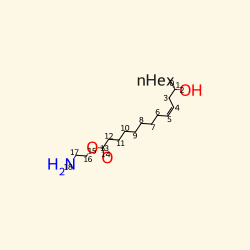 CCCCCC[C@@H](O)C/C=C\CCCCCCCC(=O)OCCN